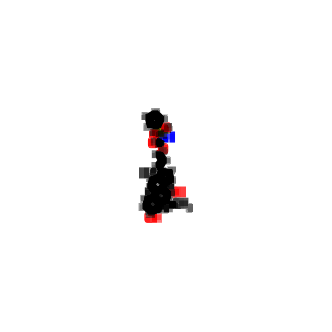 CC[C@H]1[C@@H](O)[C@@H]2[C@H](CC[C@]3(C)[C@@H](CCCOC(=O)NS(=O)(=O)C4CCCC4)CC[C@@H]23)[C@@]2(C)CC[C@@H](O)C[C@@H]12